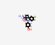 NC(=O)C1(C(=O)N(c2ccc(O)cc2)c2ccc(F)cc2)CCC1